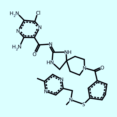 Cc1cnc(CN(C)Sc2cccc(C(=O)N3CCC4(CC3)CN/C(=N\C(=O)c3nc(Cl)c(N)nc3N)N4)c2)cn1